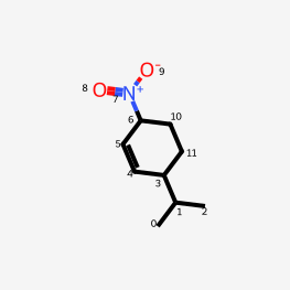 CC(C)C1C=CC([N+](=O)[O-])CC1